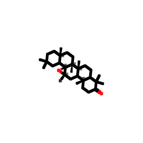 CC1(C)CC[C@]2(C)CC[C@@]3(C)[C@]4(C)CCC5C(C)(C)C(=O)CC[C@]5(C)C4C[C@@H]4O[C@@]43C2C1